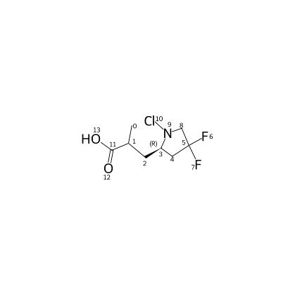 CC(C[C@@H]1CC(F)(F)CN1Cl)C(=O)O